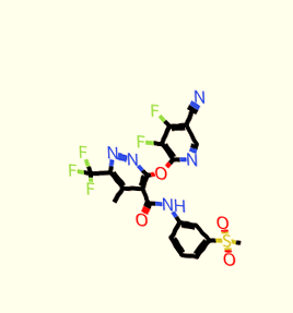 Cc1c(C(F)(F)F)nnc(Oc2ncc(C#N)c(F)c2F)c1C(=O)Nc1cccc(S(C)(=O)=O)c1